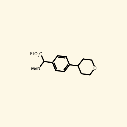 CCOC(=O)C(NC)c1ccc(C2CCOCC2)cc1